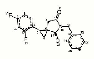 O=C1C[C@]2(C[C@H]2c2ccc(F)cc2F)C(=O)N1Cc1ccccc1